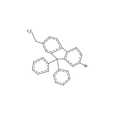 FC(F)(F)Cc1ccc2c(c1)C(c1ccccc1)(c1ccccc1)c1cc(Br)ccc1-2